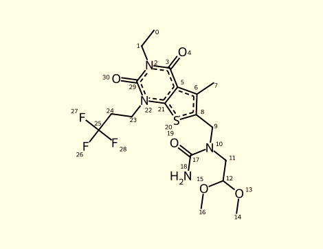 CCn1c(=O)c2c(C)c(CN(CC(OC)OC)C(N)=O)sc2n(CCC(F)(F)F)c1=O